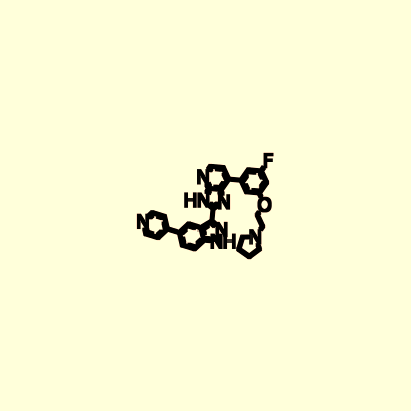 Fc1cc(OCCN2CCCC2)cc(-c2ccnc3[nH]c(-c4n[nH]c5ccc(-c6ccncc6)cc45)nc23)c1